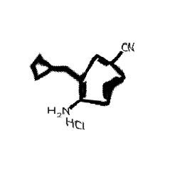 Cl.N#Cc1ccc(N)c(C2CC2)c1